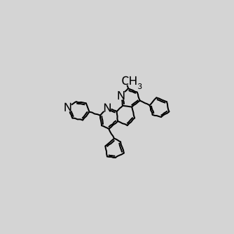 Cc1cc(-c2ccccc2)c2ccc3c(-c4ccccc4)cc(-c4ccncc4)nc3c2n1